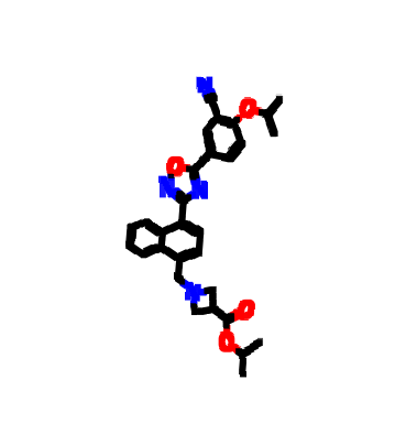 CC(C)OC(=O)C1CN(Cc2ccc(-c3noc(-c4ccc(OC(C)C)c(C#N)c4)n3)c3ccccc23)C1